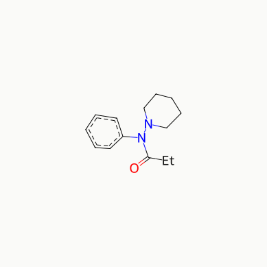 CCC(=O)N(c1ccccc1)N1CCCCC1